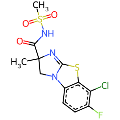 CC1(C(=O)NS(C)(=O)=O)CN2C(=N1)Sc1c2ccc(F)c1Cl